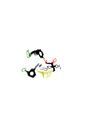 CC(C)(CS)C(=O)COc1ccc(Cl)cc1.Clc1ccccc1